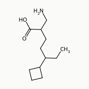 CCC(CCC(CN)C(=O)O)C1CCC1